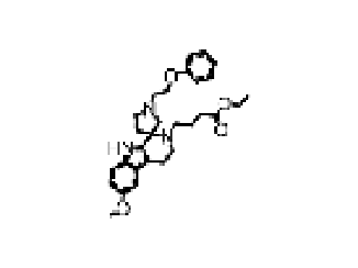 CCOC(=O)CCCN1CCc2c([nH]c3ccc(OC)cc23)C12CCN(CCOc1ccccc1)C2